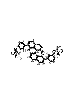 Cc1ccc2ccc(-c3cccc(OS(=O)(=O)C(F)(F)F)c3)cc2c1-c1c(C)ccc2ccc(-c3cccc(OS(=O)(=O)C(F)(F)F)c3)cc12